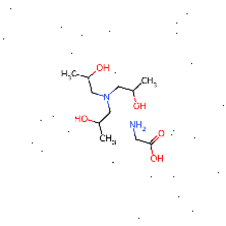 CC(O)CN(CC(C)O)CC(C)O.NCC(=O)O